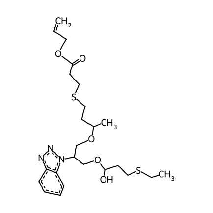 C=CCOC(=O)CCSCCC(C)OCC(COC(O)CCSCC)n1nnc2ccccc21